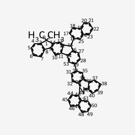 CC1(C)c2ccccc2-c2cc3c(cc21)C(c1ccc2ccccc2c1)c1ccc(-c2ccc4c(c2)c2ccccc2n4-c2cccc4ccccc24)cc1-3